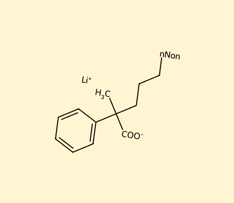 CCCCCCCCCCCCC(C)(C(=O)[O-])c1ccccc1.[Li+]